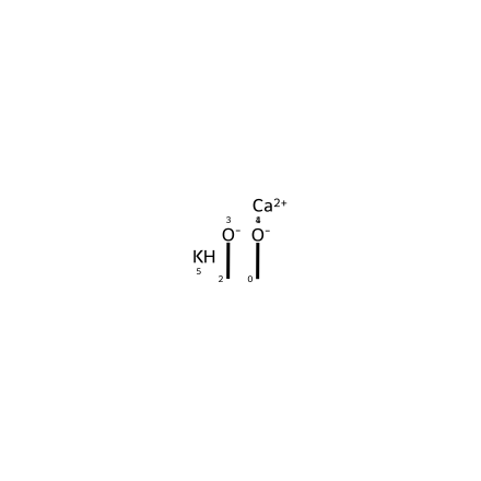 C[O-].C[O-].[Ca+2].[KH]